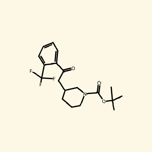 CC(C)(C)OC(=O)N1CCCC(CC(=O)c2ccccc2C(F)(F)F)C1